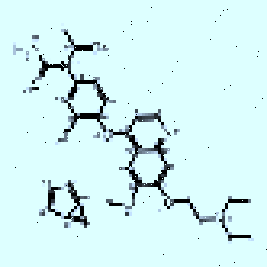 CCN(CC)CCOc1cc2nccc(Oc3ccc(N(C(C)=O)C(N)=S)cc3F)c2cc1OC.c1cc2cc-2c1